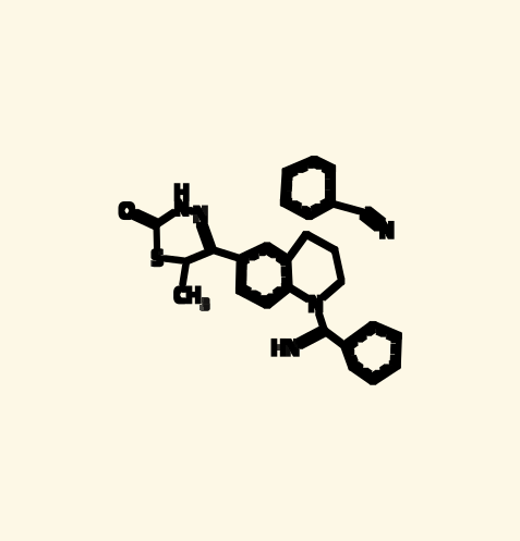 CC1SC(=O)NN=C1c1ccc2c(c1)CCCN2C(=N)c1ccccc1.N#Cc1ccccc1